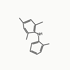 Cc1cc(C)c(Nc2ccccc2C)c(C)c1